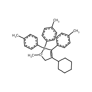 Cc1ccc(C2=C(C3CCCCC3)C[O+](C)[B-]2(c2ccc(C)cc2)c2ccc(C)cc2)cc1